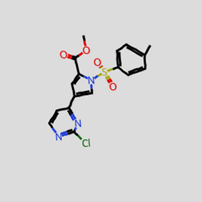 COC(=O)c1cc(-c2ccnc(Cl)n2)cn1S(=O)(=O)c1ccc(C)cc1